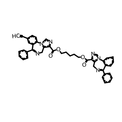 C#Cc1ccc2c(c1)C(c1ccccc1)=NCc1c(C(=O)OCCCCCOC(=O)c3ncn4c3CN=C(c3ccccc3)c3ccccc3-4)ncn1-2